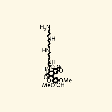 COc1cc(C2c3cc4c(cc3[C@@H](NC(=O)CNCCCCNCCCCNCCCCN)[C@H]3COC(=O)C23)OCO4)cc(OC)c1O